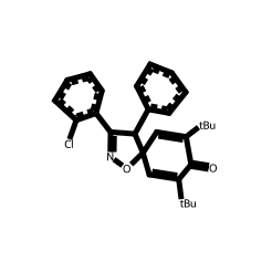 CC(C)(C)C1=CC2(C=C(C(C)(C)C)C1=O)ON=C(c1ccccc1Cl)C2c1ccccc1